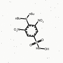 CCCCN(CCCC)c1c([N+](=O)[O-])cc(S(=O)(=O)NO)cc1[N+](=O)[O-]